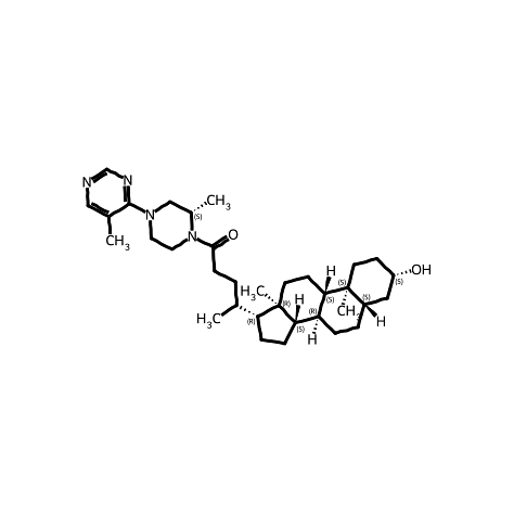 Cc1cncnc1N1CCN(C(=O)CCC(C)[C@H]2CC[C@H]3[C@@H]4CC[C@H]5C[C@@H](O)CC[C@]5(C)[C@H]4CC[C@]23C)[C@@H](C)C1